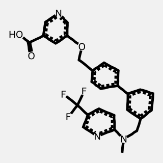 CN(Cc1cccc(-c2ccc(COc3cncc(C(=O)O)c3)cc2)c1)c1ccc(C(F)(F)F)cn1